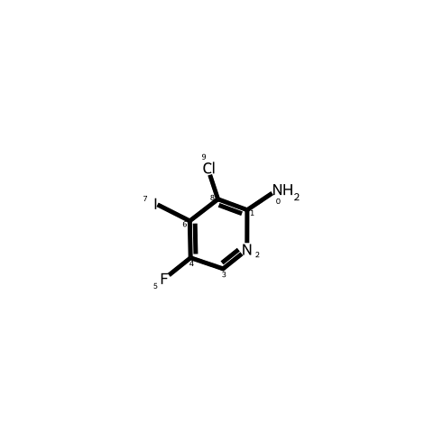 Nc1ncc(F)c(I)c1Cl